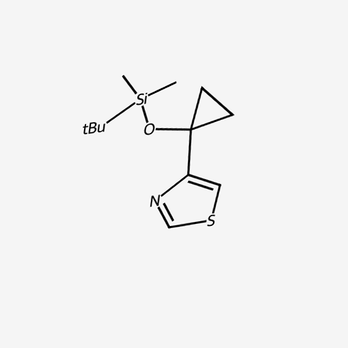 CC(C)(C)[Si](C)(C)OC1(c2cscn2)CC1